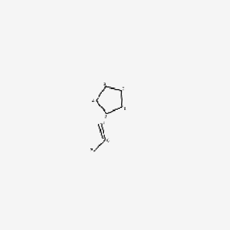 C1CCCC1.C=CC